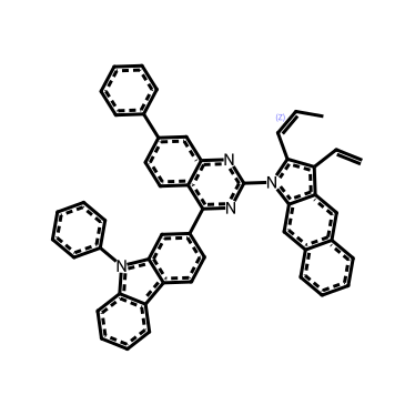 C=Cc1c(/C=C\C)n(-c2nc(-c3ccc4c5ccccc5n(-c5ccccc5)c4c3)c3ccc(-c4ccccc4)cc3n2)c2cc3ccccc3cc12